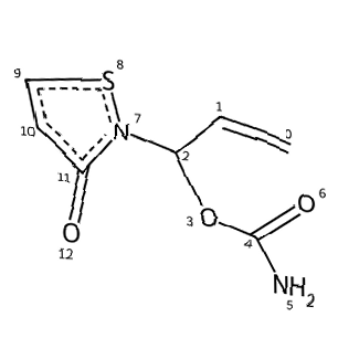 C=CC(OC(N)=O)n1sccc1=O